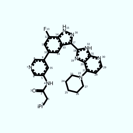 CC(C)CC(=O)Nc1cncc(-c2cc(F)c3[nH]nc(-c4nc5c(N6CCCCC6)ccnc5[nH]4)c3c2)c1